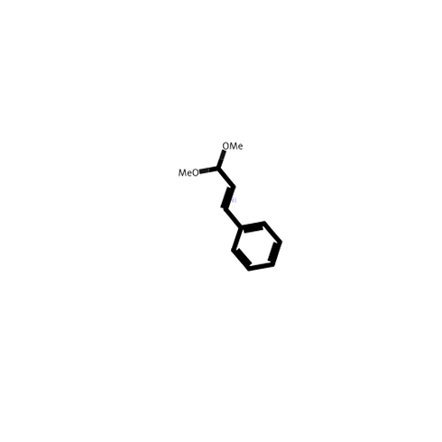 COC(/C=C/c1ccccc1)OC